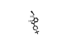 C#CCNc1cccc2c(C3CCN(C(C)(C)C)CC3)c[nH]c12